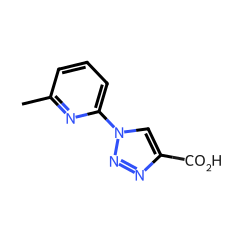 Cc1cccc(-n2cc(C(=O)O)nn2)n1